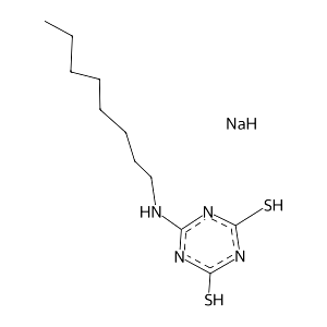 CCCCCCCCNc1nc(S)nc(S)n1.[NaH]